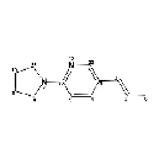 C/C=C/c1ccc(N2CCCC2)nc1